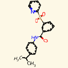 CC(C)c1ccc(NC(=O)c2cccc(S(=O)(=O)c3ccccn3)c2)cc1